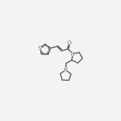 O=C(C=Cc1ccsc1)N1CCCC1CN1CCCC1